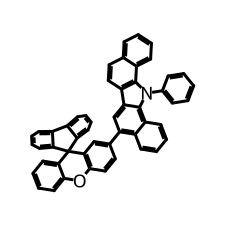 c1ccc(-n2c3c4ccccc4ccc3c3cc(-c4ccc5c(c4)C4(c6ccccc6O5)c5ccccc5-c5ccccc54)c4ccccc4c32)cc1